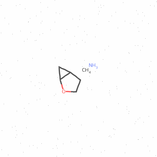 C.C1CC2CC2O1.N